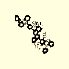 Cc1c(C)c(N(c2ccccc2)c2ccccc2)c(C)c(C)c1-c1cc2c3cccc4c3c(cc2c2ccccc12)-c1ccc(N(c2ccccc2)c2cccc3c2oc2ccccc23)cc1[Si]4(C)C